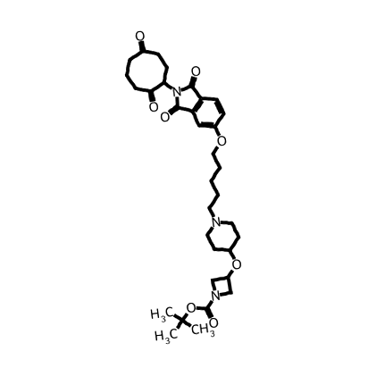 CC(C)(C)OC(=O)N1CC(OC2CCN(CCCCCOc3ccc4c(c3)C(=O)N(C3CCC(=O)CCCC3=O)C4=O)CC2)C1